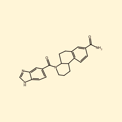 NC(=O)c1ccc2c(c1)CCC1C2CCCN1C(=O)c1ccc2[nH]cnc2c1